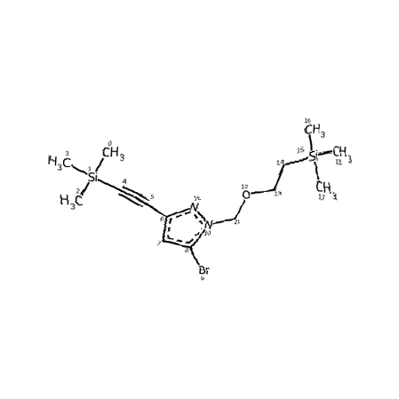 C[Si](C)(C)C#Cc1cc(Br)n(COCC[Si](C)(C)C)n1